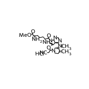 COC(=O)[C@@H](N)CCCC(N)C(=O)n1ccc2c(N(C)[C@H]3CN(C(=O)CC#N)CC[C@H]3C)ncnc21.Cl